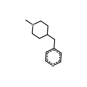 CN1CCC(Cc2ccncc2)CC1